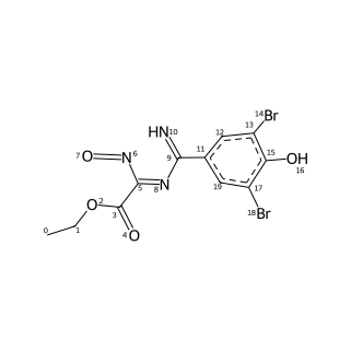 CCOC(=O)/C(N=O)=N/C(=N)c1cc(Br)c(O)c(Br)c1